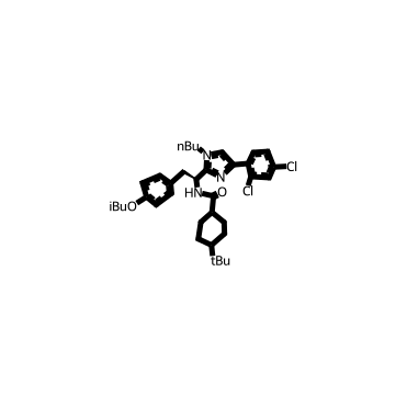 CCCCn1cc(-c2ccc(Cl)cc2Cl)nc1[C@H](Cc1ccc(OCC(C)C)cc1)NC(=O)C1CCC(C(C)(C)C)CC1